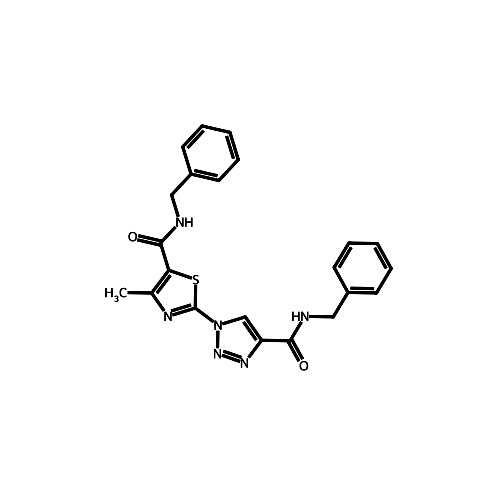 Cc1nc(-n2cc(C(=O)NCc3ccccc3)nn2)sc1C(=O)NCc1ccccc1